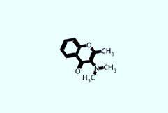 Cc1oc2ccccc2c(=O)c1N(C)C